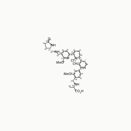 COc1cc(-c2nccc(-c3cccc(-c4ccc(CNC[C@@H]5CCC(=O)N5)c(OC)n4)c3Cl)c2Cl)ccc1CNC(C)C(=O)O